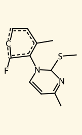 CSC1N=C(C)C=CN1c1c(C)cccc1F